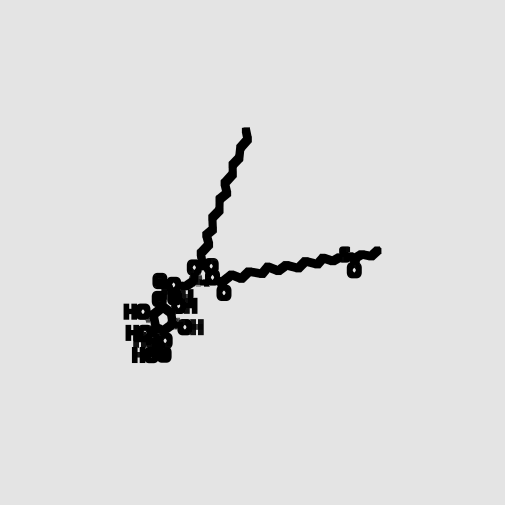 CCCCCCCCCCCCCCCC(=O)O[C@H](COC(=O)CCCCCCCCCCCCSC(=O)CCC)COP(=O)(O)OC1C(O)[C@@H](O)C(OP(=O)(O)O)[C@@H](O)[C@H]1O